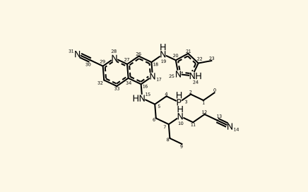 CCCPCC(CC(CC)NCCC#N)Nc1nc(Nc2cc(C)[nH]n2)cc2nc(C#N)ccc12